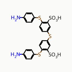 Nc1ccc(Sc2ccc(Sc3ccc(Sc4ccc(N)cc4)c(S(=O)(=O)O)c3)cc2S(=O)(=O)O)cc1